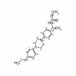 CCOc1ccc(C2CCN(c3ccc(C(C)NC(=O)OC)cc3)CC2)cc1